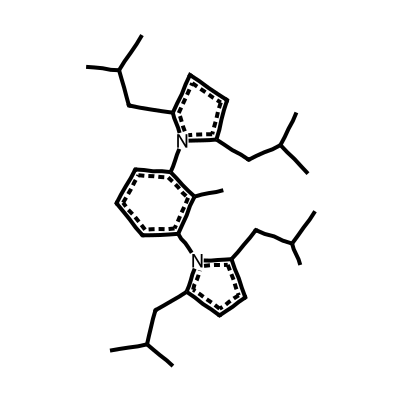 Cc1c(-n2c(CC(C)C)ccc2CC(C)C)cccc1-n1c(CC(C)C)ccc1CC(C)C